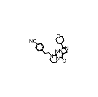 N#Cc1ccc(CCN2CCCn3c2nn2c(C4CCOCC4)ncc2c3=O)cc1